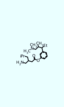 CCC(c1cccc(OC(=O)CC(CN)CC(C)C)c1)C(C)CN(C)C